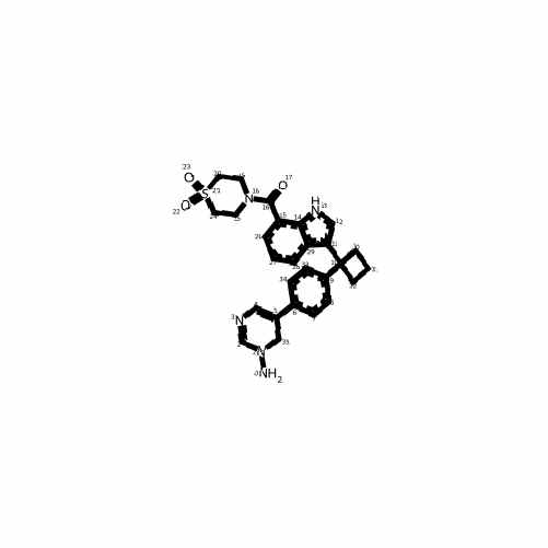 NN1C=NC=C(c2ccc(C3(c4c[nH]c5c(C(=O)N6CCS(=O)(=O)CC6)cccc45)CCC3)cc2)C1